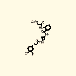 COCC(=O)Nc1ccccc1C(=O)NC12CC(NC(=O)COc3ccc(Cl)c(F)c3)(C1)C2